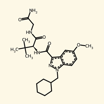 COc1ccc2c(c1)c(C(=O)N[C@H](C(=O)NCC(N)=O)C(C)(C)C)nn2CC1CCCCC1